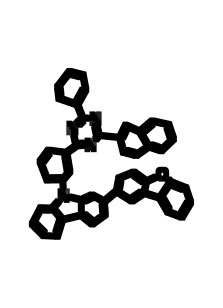 c1ccc(-c2nc(-c3cccc(-n4c5ccccc5c5ccc(-c6ccc7oc8ccccc8c7c6)cc54)c3)nc(-c3ccc4ccccc4c3)n2)cc1